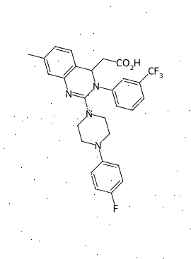 Cc1ccc2c(c1)N=C(N1CCN(c3ccc(F)cc3)CC1)N(c1cccc(C(F)(F)F)c1)C2CC(=O)O